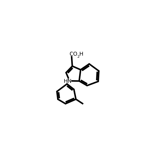 Cc1ccccc1.O=C(O)c1c[nH]c2ccccc12